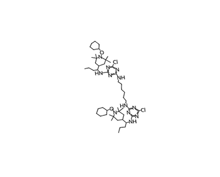 CCCC(Nc1nc(Cl)nc(NCCCCCCNc2nc(Cl)nc(NC(CCC)C3CC(C)(C)N(OC4CCCCC4)C(C)(C)C3)n2)n1)C1CC(C)(C)N(OC2CCCCC2)C(C)(C)C1